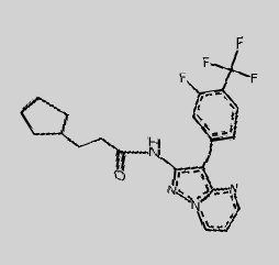 O=C(CCC1CCCC1)Nc1nn2cccnc2c1-c1ccc(C(F)(F)F)c(F)c1